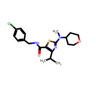 CC(C)c1nc(N(C)C2CCOCC2)sc1C(=O)NCc1ccc(Cl)cc1